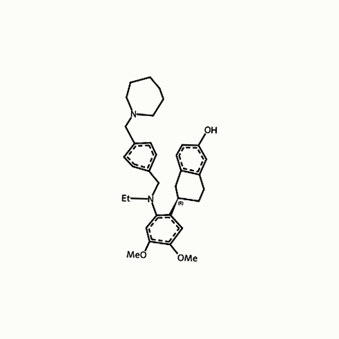 CCN(Cc1ccc(CN2CCCCCC2)cc1)c1cc(OC)c(OC)cc1[C@@H]1CCc2cc(O)ccc2C1